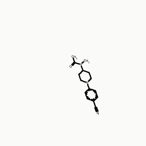 CC(=O)N(C)C1CCN(c2ccc(C#N)cc2)CC1